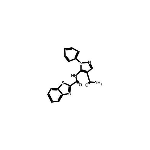 NC(=O)c1cnn(-c2ccccc2)c1NC(=O)c1nc2ccccc2s1